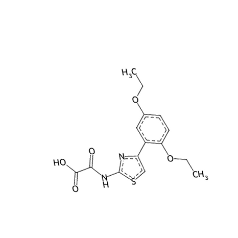 CCOc1ccc(OCC)c(-c2csc(NC(=O)C(=O)O)n2)c1